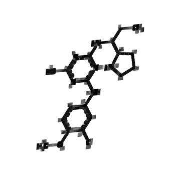 CCC(Nc1nc(O)nc(Nc2ccc(OC)c(Cl)c2)n1)C1CCCN1